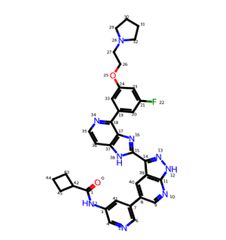 O=C(Nc1cncc(-c2cnc3[nH]nc(-c4nc5c(-c6cc(F)cc(OCCN7CCCC7)c6)nccc5[nH]4)c3c2)c1)C1CCC1